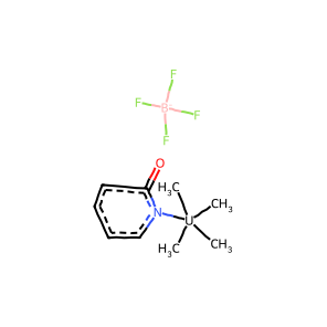 F[B-](F)(F)F.[CH3][U]([CH3])([CH3])([CH3])[n]1ccccc1=O